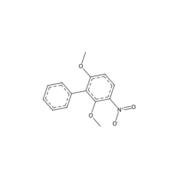 COc1ccc([N+](=O)[O-])c(OC)c1-c1ccccc1